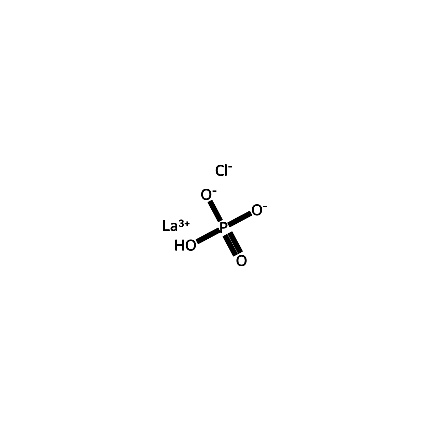 O=P([O-])([O-])O.[Cl-].[La+3]